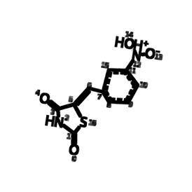 O=C1NC(=O)/C(=C/c2cccc([NH+]([O-])O)c2)S1